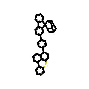 c1ccc2c(c1)Sc1ccc(-c3ccc(-c4ccc5c(c4)C4(c6ccccc6-5)C5CC6CC(C5)CC4C6)cc3)c3cccc-2c13